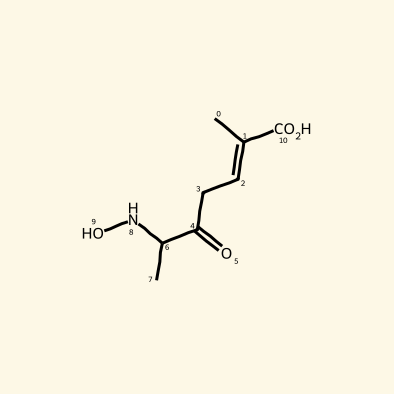 CC(=CCC(=O)C(C)NO)C(=O)O